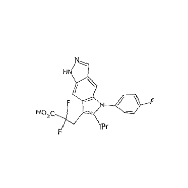 CC(C)c1c(CC(F)(F)C(=O)O)c2cc3[nH]ncc3cc2n1-c1ccc(F)cc1